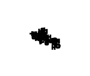 CN(C)C(=O)C(NC(=O)CNC(=O)C(=O)[C@H](CC1CC1)NC(=O)[C@@H]1[C@@H]2[C@H](CN1C(=O)[C@@H](NC(=O)NC(C)(C)C)C(C)(C)C)C2(Cl)Cl)c1ccccc1